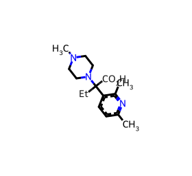 CCC(C(=O)O)(c1ccc(C)nc1C)N1CCN(C)CC1